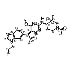 COc1nc(N[C@@H]2CCN(C(C)=O)CC2(F)F)nn2cc(F)c(-c3ccc4ncn(CCF)c4c3)c12